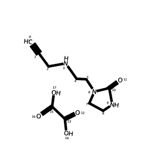 C#CCNCCN1CCNC1=O.O=C(O)C(=O)O